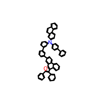 c1ccc(-c2ccc(N(c3cccc(-c4cccc(-c5ccc6c7ccccc7c7c(-c8ccccc8)c(-c8ccccc8)oc7c6c5)c4)c3)c3ccc4c(ccc5ccccc54)c3)cc2)cc1